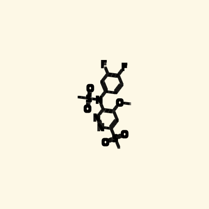 COc1cc(S(C)(=O)=O)nnc1N(c1ccc(F)c(F)c1)S(C)(=O)=O